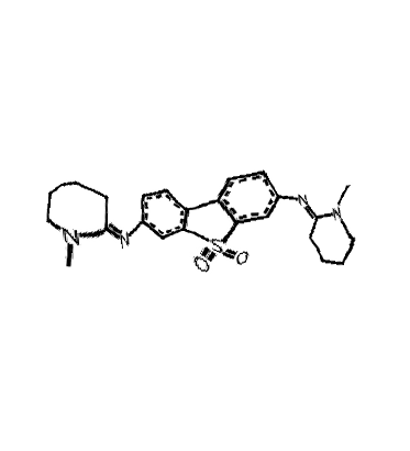 CN1CCCCC1=Nc1ccc2c(c1)S(=O)(=O)c1cc(N=C3CCCCN3C)ccc1-2